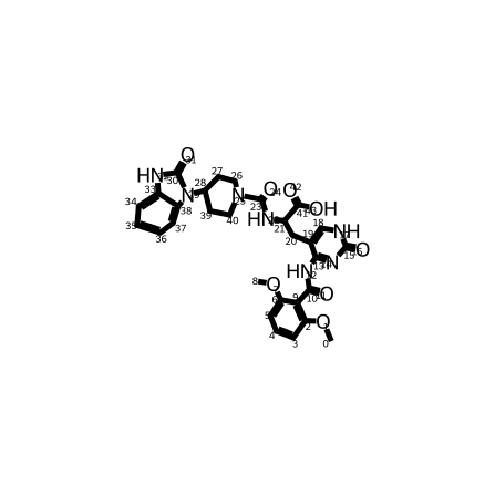 COc1cccc(OC)c1C(=O)Nc1nc(=O)[nH]cc1CC(NC(=O)N1CCC(n2c(=O)[nH]c3ccccc32)CC1)C(=O)O